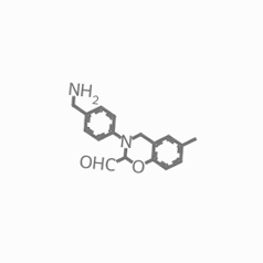 Cc1ccc2c(c1)CN(c1ccc(CN)cc1)C(C=O)O2